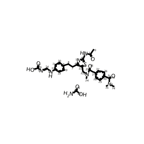 CC(=O)Nc1nc(CCc2ccc(NC=NC(=O)O)cc2)c(CN(C)C(=O)c2ccc(C(=O)N(C)C)cc2)s1.NC(=O)O